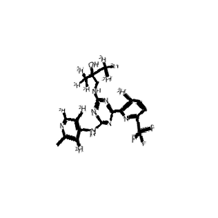 [2H]c1ccc(C(F)(F)F)nc1-c1nc(NCC(O)(C([2H])([2H])[2H])C([2H])([2H])[2H])nc(Nc2c([2H])c([2H])nc(C)c2[2H])n1